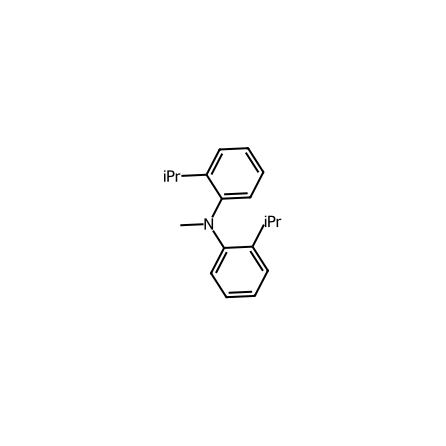 CC(C)c1ccccc1N(C)c1ccccc1C(C)C